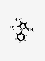 Cc1cc(P)c(C)n1-c1ccccc1